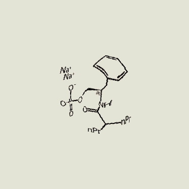 CCCC(CCC)C(=O)N[C@@H](COP(=O)([O-])[O-])c1ccccc1.[Na+].[Na+]